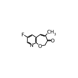 CC1=Cc2cc(F)cnc2OCC1=O